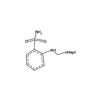 CCCCCCCCNc1ccccc1S(N)(=O)=O